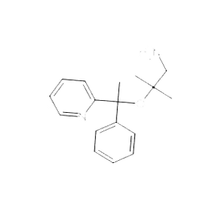 CC(C)(CN)OC(C)(c1ccccc1)c1ccccn1